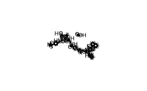 Cc1ncsc1-c1ccc(CNC(=O)[C@@H]2C[C@@H](O)CN2C(=O)C(NC(=O)CCNC(=O)C2CCN([C@H]3C[C@@H](COc4nc(N5CC6CCC(C5)N6)c5cnc(-c6cccc7cccc(Cl)c67)c(F)c5n4)N(C)C3)CC2)C(C)(C)C)cc1.O=CO